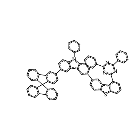 c1ccc(-c2nc(-c3ccccc3)nc(-c3cccc4sc5ccc(-c6ccc7c(c6)c6cc(-c8ccc9c(c8)-c8ccccc8C98c9ccccc9-c9ccccc98)ccc6n7-c6ccccc6)cc5c34)n2)cc1